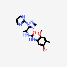 COc1cc(C)c(Br)cc1NC(=O)NC(C)c1ncnn1-c1ncccn1